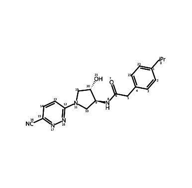 CC(C)c1ccc(CC(=O)N[C@H]2CN(c3ccc(C#N)nn3)C[C@@H]2O)cc1